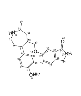 COc1ccc(C2CCNC(C)CC2COc2ccc3c(c2)C(=O)NC3)cc1